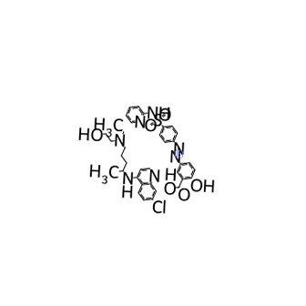 CCN(CCO)CCCC(C)Nc1ccnc2cc(Cl)ccc12.O=C(O)c1cc(/N=N/c2ccc(S(=O)(=O)Nc3ccccn3)cc2)ccc1O